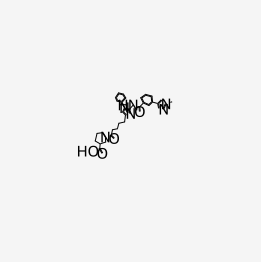 Cn1cc(-c2cccc(C(=O)Nc3nc(CCCCC(=O)N4CCCC(C(=O)O)C4)cn3-c3ccccc3)c2)cn1